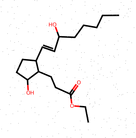 CCCCCC(O)C=CC1CCC(O)C1CCC(=O)OCC